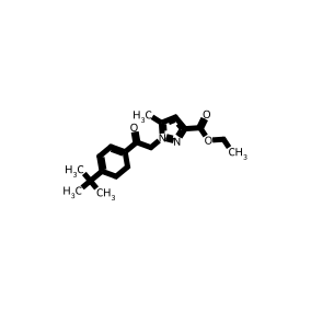 CCOC(=O)c1cc(C)n(CC(=O)C2=CC=C(C(C)(C)C)CC2)n1